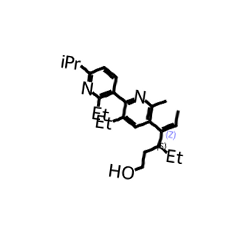 C/C=C(\c1cc(CC)c(-c2ccc(C(C)C)nc2CC)nc1C)[C@@H](CC)CCO